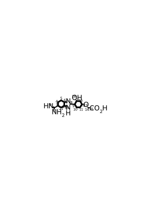 N=C(N)c1ccc2nc(-c3ccc(OCC(=O)O)cc3O)[nH]c2c1